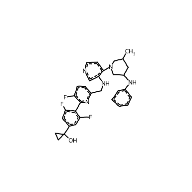 CC1CC(Nc2ccccc2)CN(c2ccncc2NCc2ccc(F)c(-c3c(F)cc(C4(O)CC4)cc3F)n2)C1